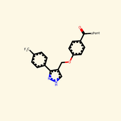 CCCCCC(=O)c1ccc(OCc2c[nH]nc2-c2ccc(C(F)(F)F)cc2)cc1